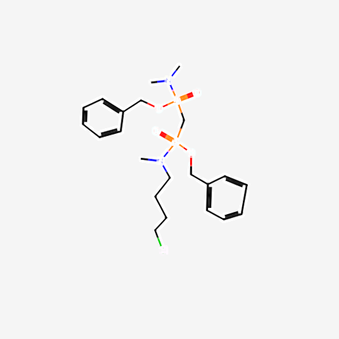 CN(C)P(=O)(CP(=O)(OCc1ccccc1)N(C)CCCCCl)OCc1ccccc1